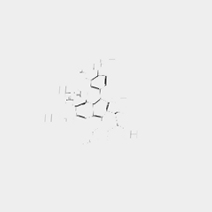 CCC(CC)C(=O)c1c(C)c(-c2ccc(OC)c(OC)c2)c2c(OC)c(OC)c(OC)cc2c1OCOC